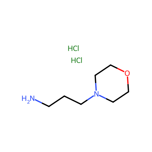 Cl.Cl.NCCCN1CCOCC1